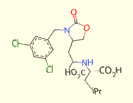 CC(C)C[C@H](NC(CC1COC(=O)N1Cc1cc(Cl)cc(Cl)c1)C(=O)O)C(=O)O